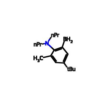 Bc1cc(C(C)(C)C)cc(C)c1N(CCC)CCC